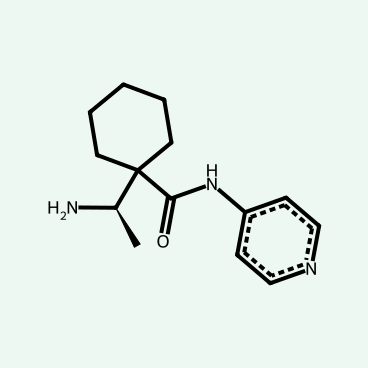 C[C@@H](N)C1(C(=O)Nc2ccncc2)CCCCC1